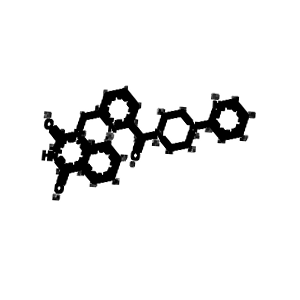 O=C(c1cccc(Cn2c(=O)[nH]c(=O)c3ccccc32)n1)N1CCN(c2ccccn2)CC1